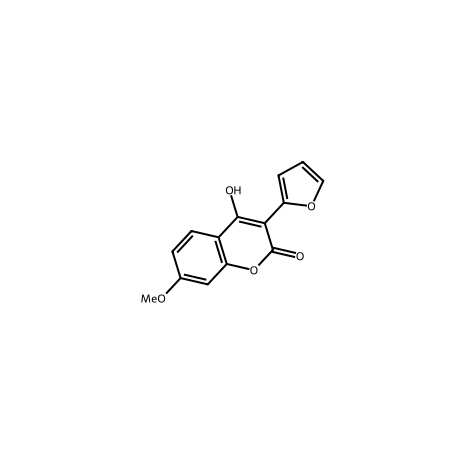 COc1ccc2c(O)c(-c3ccco3)c(=O)oc2c1